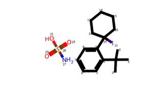 CC(C)(C)c1ccccc1C1(I)CCCCC1.NS(=O)(=O)O